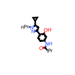 CCCn1nc(-c2ccc(NC(=O)C(C)C)cc2O)cc1C1CC1